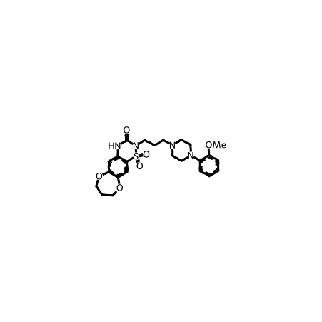 COc1ccccc1N1CCN(CCCN2C(=O)Nc3cc4c(cc3S2(=O)=O)OCCCO4)CC1